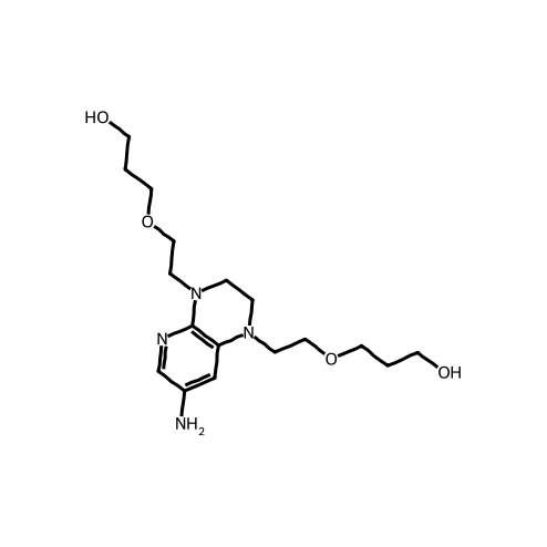 Nc1cnc2c(c1)N(CCOCCCO)CCN2CCOCCCO